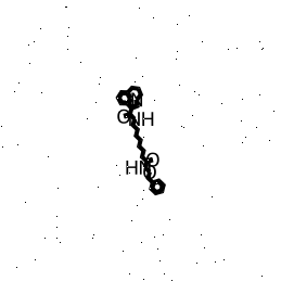 O=C(CCCCCCCNC(=O)c1cn2c3c(cccc13)CCC2)NOCc1ccccc1